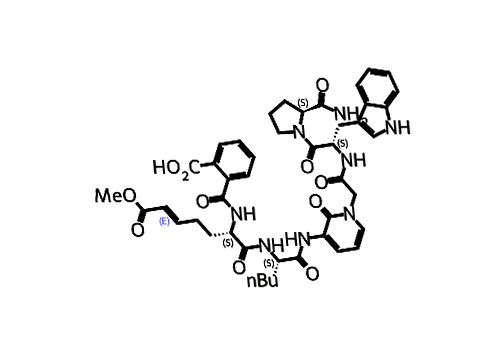 CCCC[C@H](NC(=O)[C@H](CC/C=C/C(=O)OC)NC(=O)c1ccccc1C(=O)O)C(=O)Nc1cccn(CC(=O)N[C@@H](Cc2c[nH]c3ccccc23)C(=O)N2CCC[C@H]2C(N)=O)c1=O